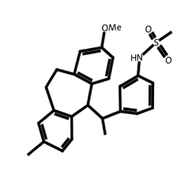 COc1ccc2c(c1)CCc1cc(C)ccc1C2C(C)c1cccc(NS(C)(=O)=O)c1